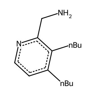 CCCCc1ccnc(CN)c1CCCC